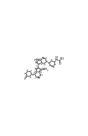 CCC(=O)Nc1cncc(-c2cnc3[nH]nc(-c4nc5c(-c6cccc(F)c6)cncc5n4N)c3c2)c1